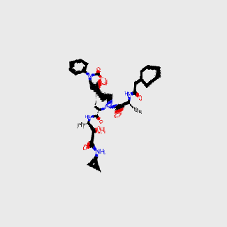 CCC[C@H](NC(=O)[C@@H]1C[C@@]2(CN(c3ccccc3)C(=O)O2)CN1C(=O)[C@@H](NC(=O)CC1CCCCC1)C(C)(C)C)C(O)C(=O)NC1CC1